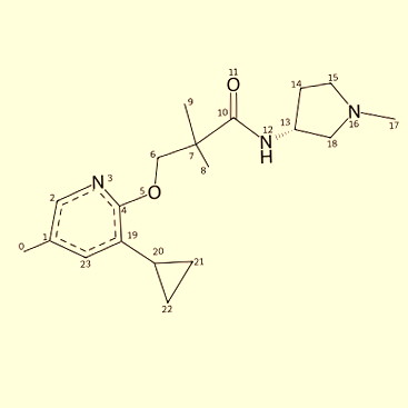 Cc1cnc(OCC(C)(C)C(=O)N[C@@H]2CCN(C)C2)c(C2CC2)c1